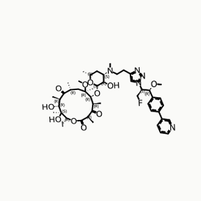 CO[C@H](c1ccc(-c2cccnc2)cc1)[C@@H](CF)n1cc(CCN(C)[C@H]2C[C@@H](C)O[C@@H](O[C@@H]3[C@@H](C)C(=O)[C@@H](C)C(=O)O[C@H](I)[C@@](C)(O)[C@H](O)[C@@H](C)C(=O)[C@H](C)C[C@@]3(C)OC)[C@@H]2O)nn1